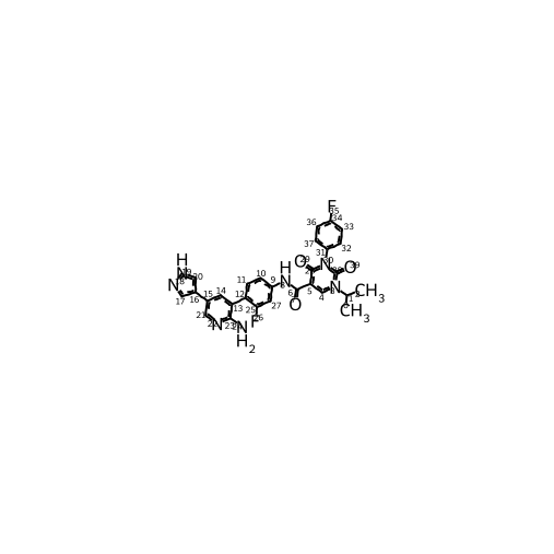 CC(C)n1cc(C(=O)Nc2ccc(-c3cc(-c4cn[nH]c4)cnc3N)c(F)c2)c(=O)n(-c2ccc(F)cc2)c1=O